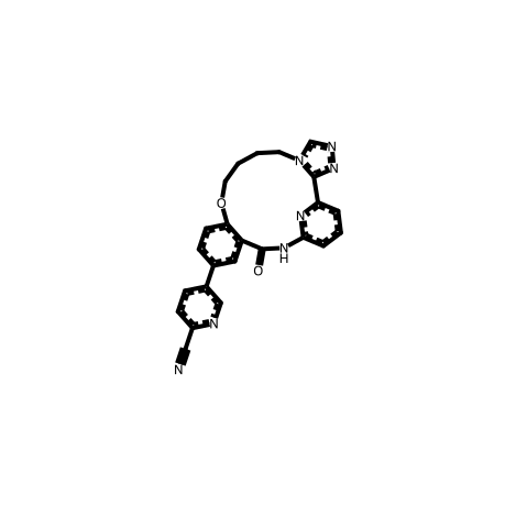 N#Cc1ccc(-c2ccc3c(c2)C(=O)Nc2cccc(n2)-c2nncn2CCCCO3)cn1